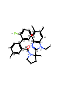 CCn1c(C2(C)CCCN2C(=O)c2cc(C)ccc2-c2ccccc2F)nc2cc(C)c(C)cc21